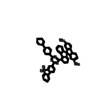 CC(C)(C)c1ccc2c(c1)C1(c3cc(C(C)(C)C)ccc3-2)c2ccccc2-c2c(-c3nc(-c4ccc(-c5ccccc5)cc4)nc(-c4ccc5c(c4)S(=O)(=O)c4ccccc4-5)n3)cccc21